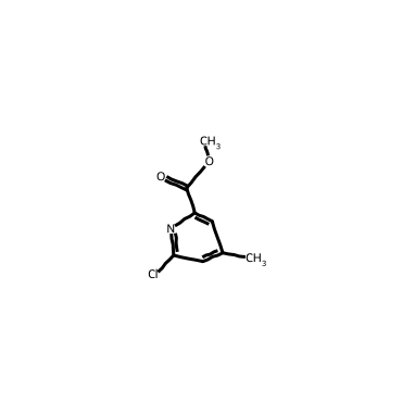 COC(=O)c1cc(C)cc(Cl)n1